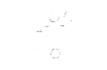 C=N/C(C(=O)N[C@@H](C)C(=O)O[C@@H](C)[C@@H](CC(C)C)Oc1ccc(Cl)c(OC)c1)=C(OC(C)=O)\C(=C/C)OCC